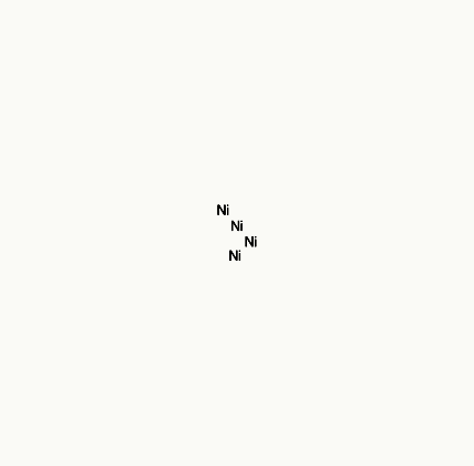 [Ni].[Ni].[Ni].[Ni]